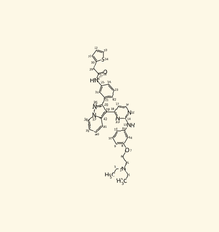 CCN(CC)CCOc1cccc(Nc2nccc(-c3c(-c4cccc(NC(=O)Cc5cccs5)c4)nn4ccccc34)n2)c1